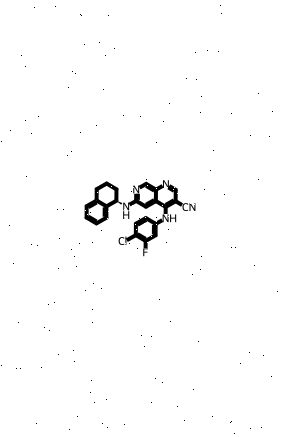 N#Cc1cnc2cnc(N[C@H]3CCCc4ccccc43)cc2c1Nc1ccc(Cl)c(F)c1